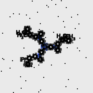 CC(C)c1ccc(-c2ccc3c(c2)c2ccccc2n3-c2ccc(-c3nc(-c4ccc(-n5c6ccccc6c6cc(-c7ccc8c(c7)-c7ccccc7C8(C)C)ccc65)cc4)nc(-c4ccc(-n5c6ccccc6c6cc(-c7ccc8c(c7)-c7ccccc7C8(C)C)ccc65)cc4)n3)cc2)cc1-c1ccccc1